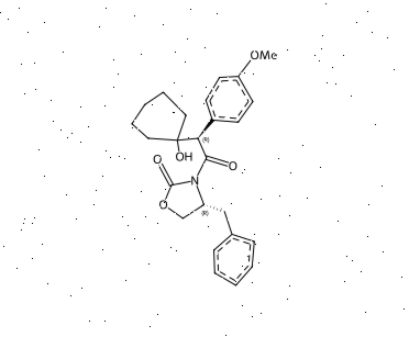 COc1ccc([C@@H](C(=O)N2C(=O)OC[C@H]2Cc2ccccc2)C2(O)CCCCC2)cc1